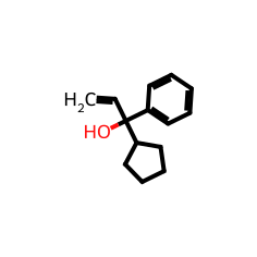 C=CC(O)(c1ccccc1)C1CCCC1